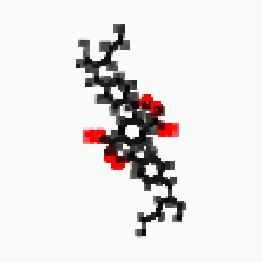 CCCCC(CC)Cc1ccc(C(=O)c2cc(C(=O)O)c(C(=O)c3ccc(CC(CC)CCCC)cc3)cc2C(=O)O)cc1